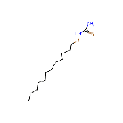 CCCCCCCCCCCCSNC(N)=S